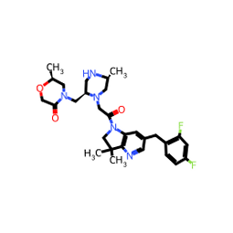 C[C@@H]1CN(CC(=O)N2CC(C)(C)c3ncc(Cc4ccc(F)cc4F)cc32)[C@@H](CN2C[C@H](C)OCC2=O)CN1